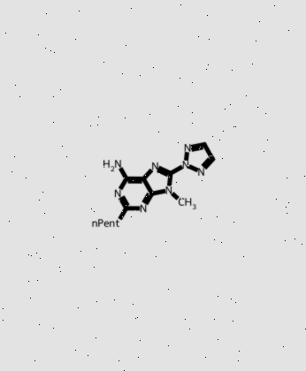 CCCCCc1nc(N)c2nc(-n3nccn3)n(C)c2n1